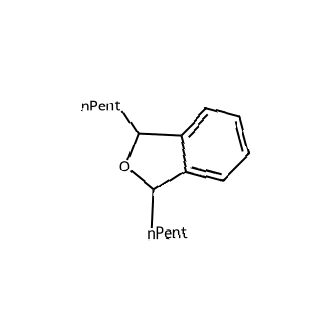 CCCCCC1OC(CCCCC)c2ccccc21